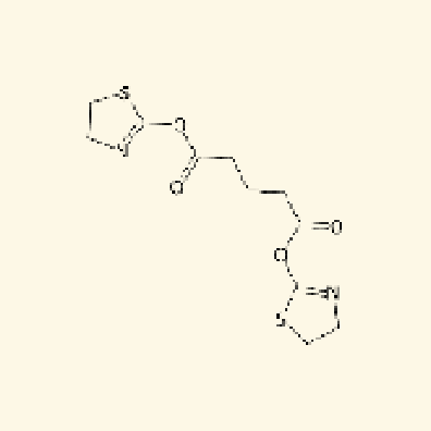 O=C(CCCC(=O)OC1=NCCS1)OC1=NCCS1